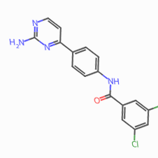 Nc1nccc(-c2ccc(NC(=O)c3cc(Cl)cc(Cl)c3)cc2)n1